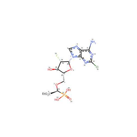 CCOC(=O)[C@@H](OC[C@H]1O[C@@H](n2cnc3c(N)nc(Cl)nc32)[C@@H](F)[C@@H]1O)P(=O)(O)O